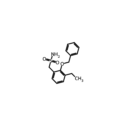 CCc1cccc(CS(N)(=O)=O)c1OCc1ccccc1